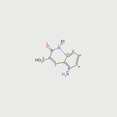 CCn1c(=O)c(C(=O)O)cc2c(N)cccc21